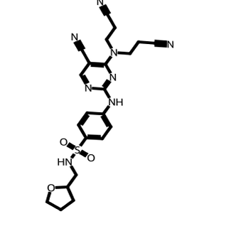 N#CCCN(CCC#N)c1nc(Nc2ccc(S(=O)(=O)NCC3CCCO3)cc2)ncc1C#N